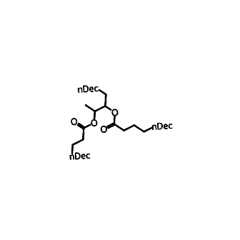 CCCCCCCCCCCCCC(=O)OC(CCCCCCCCCCC)C(C)OC(=O)CCCCCCCCCCCC